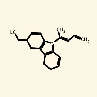 C=C/C=C(\C)n1c2c(c3c1C=CC(CC)C3)CCC=C2